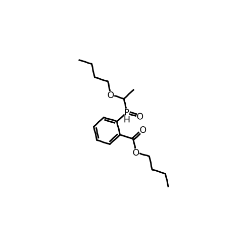 CCCCOC(=O)c1ccccc1[PH](=O)C(C)OCCCC